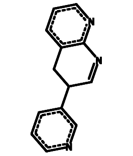 C1=Nc2ncccc2CC1c1cccnc1